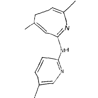 CC1=CC(Nc2ccc(C)cn2)=NC(C)=CC1